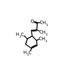 CC(=O)/C(C)=C/C1C(C)C=C(C)CC1C